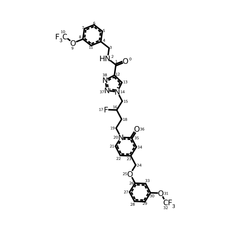 O=C(NCc1cccc(OC(F)(F)F)c1)c1cn(CC(F)CCn2ccc(COc3cccc(OC(F)(F)F)c3)cc2=O)nn1